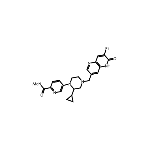 CCc1cc2ncc(CN3CCN(c4ccc(C(=O)NC)nc4)C(C4CC4)C3)cc2[nH]c1=O